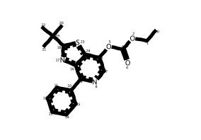 CCOC(=O)Oc1cnc(-c2ccccc2)c2nc(C(C)(C)C)sc12